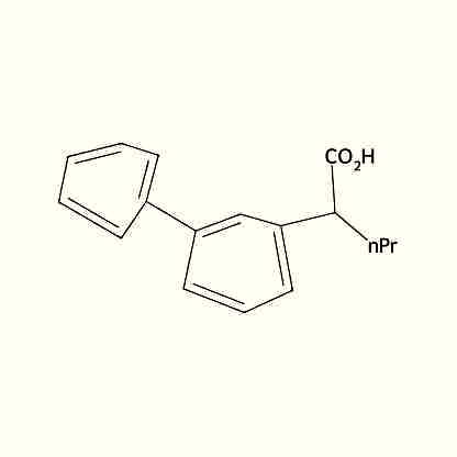 CCCC(C(=O)O)c1cccc(-c2ccccc2)c1